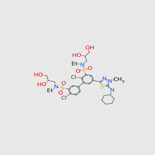 CCN(CC(O)CO)S(=O)(=O)c1cc(-c2cc(-c3nn(C)c(=NC4CCCCC4)s3)cc(S(=O)(=O)N(CC)CC(O)CO)c2Cl)ccc1Cl